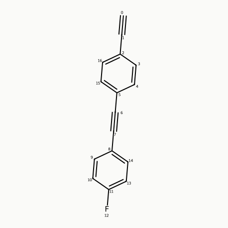 C#Cc1ccc(C#Cc2ccc(F)cc2)cc1